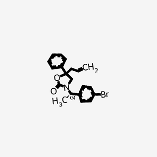 C=CCC1(c2ccccc2)CN([C@@H](C)c2ccc(Br)cc2)C(=O)O1